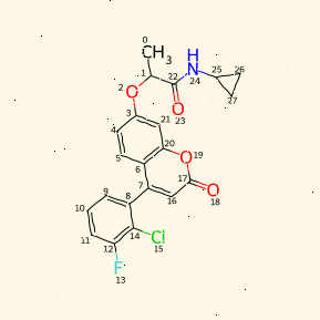 CC(Oc1ccc2c(-c3cccc(F)c3Cl)cc(=O)oc2c1)C(=O)NC1CC1